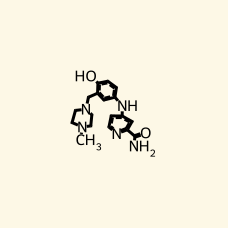 CN1CCN(Cc2cc(Nc3ccnc(C(N)=O)c3)ccc2O)CC1